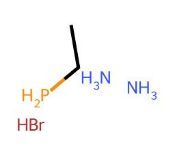 Br.CCP.N.N